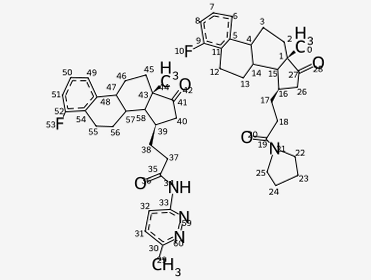 C[C@]12CCC3c4cccc(F)c4CCC3C1[C@H](CCC(=O)N1CCCC1)CC2=O.Cc1ccc(NC(=O)CC[C@@H]2CC(=O)[C@@]3(C)CCC4c5cccc(F)c5CCC4C23)nn1